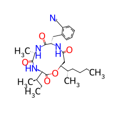 CCCC[C@H](C)[C@@H]1CC(=O)N[C@@H](Cc2ccccc2C#N)C(=O)N[C@@H](C)C(=O)N[C@H]([C@H](C)CC)C(=O)O1